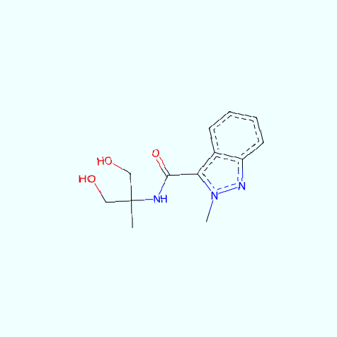 Cn1nc2ccccc2c1C(=O)NC(C)(CO)CO